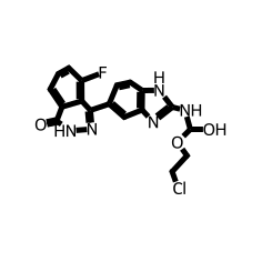 O=c1[nH]nc(-c2ccc3[nH]c(NC(O)OCCCl)nc3c2)c2c(F)cccc12